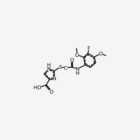 COc1ccc(NC(=O)CSc2nc(C(=O)O)c[nH]2)c(OC)c1F